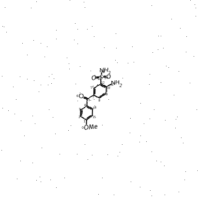 COc1ccc(C(=O)c2ccc(N)c(S(N)(=O)=O)c2)cc1